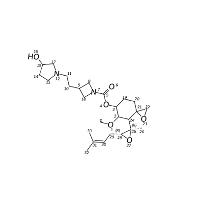 COC1C(OC(=O)N2CC(CCN3CCC(O)C3)C2)CCC2(CO2)C1[C@@]1(C)O[C@@H]1CC=C(C)C